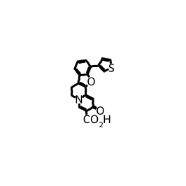 O=C(O)c1cn2c(cc1=O)-c1oc3c(-c4ccsc4)cccc3c1CC2